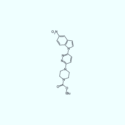 CC(C)(C)OC(=O)N1CCN(c2ccc(-n3ccc4cc([N+](=O)[O-])ccc43)nn2)CC1